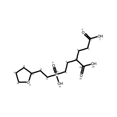 O=C(O)CCC(CCP(=O)(O)CCC1CCCO1)C(=O)O